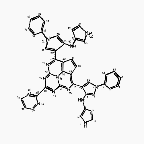 C1=C=CC(n2cc(Nc3cc[nH]c3)c(-c3nc4nc(-c5ncccn5)nc5nc(-c6cn(-c7ccccc7)cc6Nc6cc[nH]c6)c6ccc3c6n45)c2)=CC=1